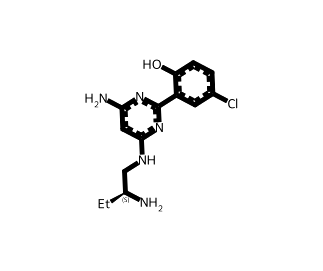 CC[C@H](N)CNc1cc(N)nc(-c2cc(Cl)ccc2O)n1